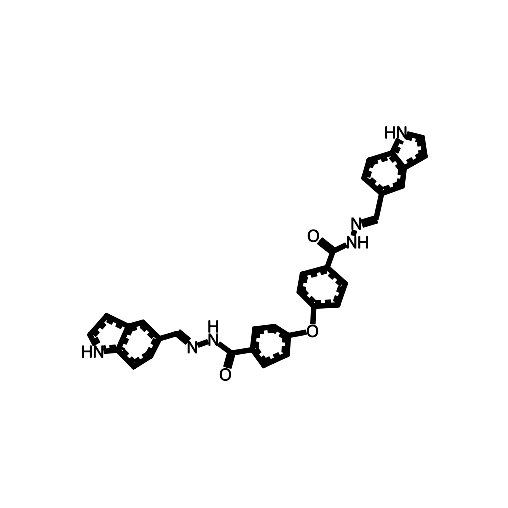 O=C(N/N=C/c1ccc2[nH]ccc2c1)c1ccc(Oc2ccc(C(=O)N/N=C/c3ccc4[nH]ccc4c3)cc2)cc1